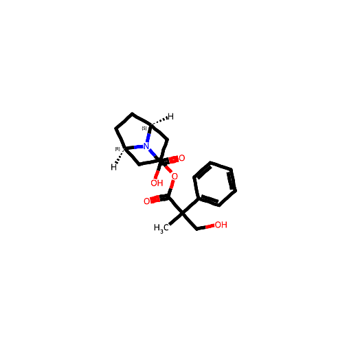 CC(CO)(C(=O)OC1C[C@H]2CC[C@@H](C1)N2C(=O)O)c1ccccc1